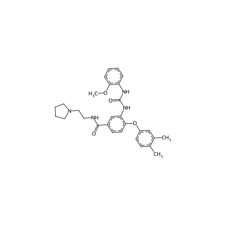 COc1ccccc1NC(=O)Nc1cc(C(=O)NCCN2CCCC2)ccc1Oc1ccc(C)c(C)c1